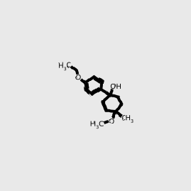 CCOc1ccc(C2(O)CCC(C)(OC)CC2)cc1